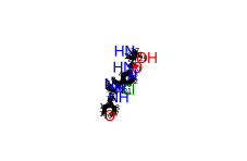 O=C(Nc1cc(-c2cncc(NCC3CCOCC3)n2)c(Cl)cn1)[C@H]1CNC[C@H]1O